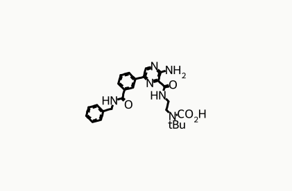 CC(C)(C)N(CCNC(=O)c1nc(-c2cccc(C(=O)NCc3ccccc3)c2)cnc1N)C(=O)O